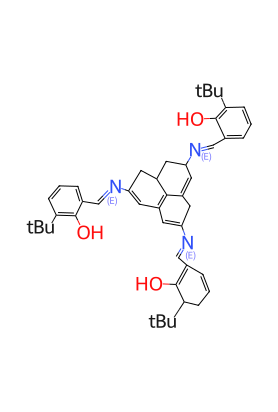 CC(C)(C)c1cccc(/C=N/C2=CC3=C4C(=CC(/N=C/c5cccc(C(C)(C)C)c5O)CC4C2)CC(/N=C/C2=C(O)C(C(C)(C)C)CC=C2)=C3)c1O